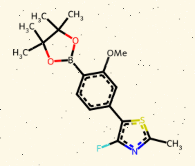 COc1cc(-c2sc(C)nc2F)ccc1B1OC(C)(C)C(C)(C)O1